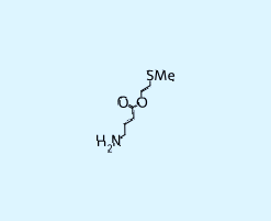 CSCCOC(=O)CCCN